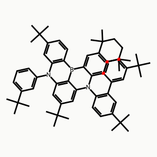 CC(C)(C)c1cccc(-c2cc(C(C)(C)C)ccc2N2c3cc4c(cc3B3c5ccc(C(C)(C)C)cc5N(c5cccc(C(C)(C)C)c5)c5cc(C(C)(C)C)cc2c53)C(C)(C)CCC4(C)C)c1